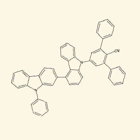 N#Cc1c(-c2ccccc2)cc(-n2c3ccccc3c3c(-c4ccc5c6ccccc6n(-c6ccccc6)c5c4)cccc32)cc1-c1ccccc1